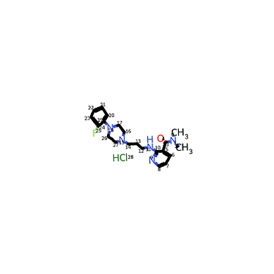 CN(C)C(=O)c1cccnc1NCCCN1CCN(c2ccccc2F)CC1.Cl